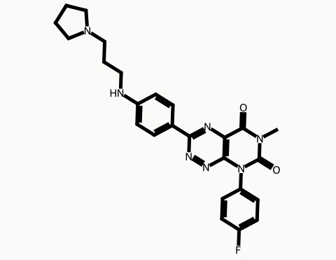 Cn1c(=O)c2nc(-c3ccc(NCCCN4CCCC4)cc3)nnc2n(-c2ccc(F)cc2)c1=O